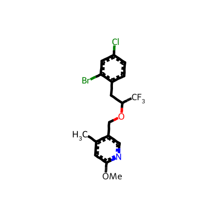 COc1cc(C)c(COC(Cc2ccc(Cl)cc2Br)C(F)(F)F)cn1